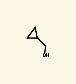 OC[C]1CC1